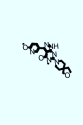 COc1ccc(-c2n[nH]c3nc(N4CCC5(CCOC5)CC4)n(C)c(=O)c23)cn1